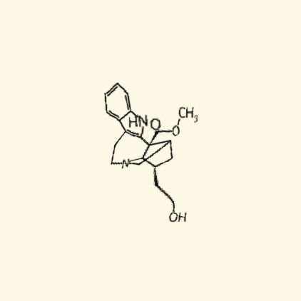 COC(=O)[C@@]12c3[nH]c4ccccc4c3CCN3CC1C[C@@H](CCO)C32